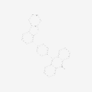 O=c1c2ccccc2n(-c2ccc(-c3cccc4c3oc3ccccc34)cc2)c2ccccc12